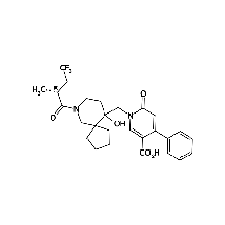 C[C@H](CC(F)(F)F)C(=O)N1CCC(O)(Cn2cc(C(=O)O)c(-c3ccccc3)cc2=O)C2(CCCC2)C1